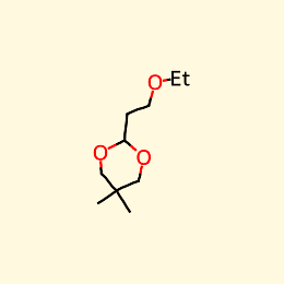 [CH2]COCCC1OCC(C)(C)CO1